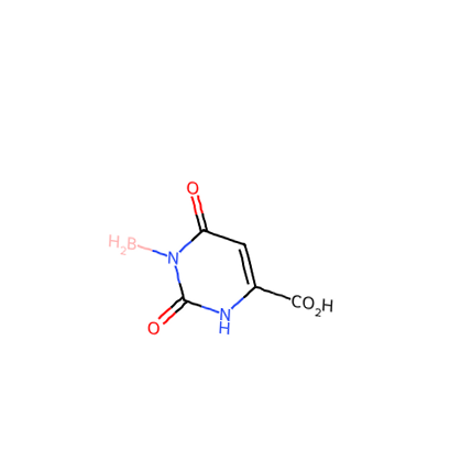 Bn1c(=O)cc(C(=O)O)[nH]c1=O